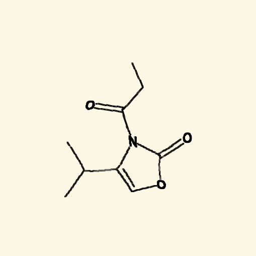 CCC(=O)n1c(C(C)C)coc1=O